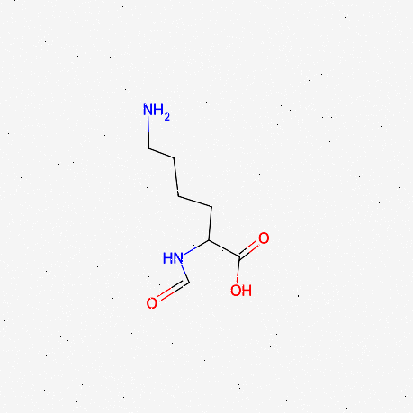 NCCCCC(NC=O)C(=O)O